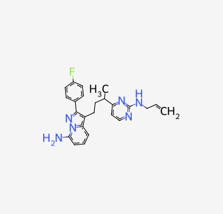 C=CCNc1nccc(C(C)CCc2c(-c3ccc(F)cc3)nn3c(N)cccc23)n1